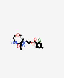 CCc1nn(CCCOC(=O)c2ccc(C)cc2Cl)c2c1C(=O)NCCCOCCC2